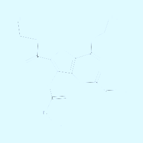 CCOC(=O)c1sc(C(=O)OCC)c(OC(=O)NC)c1OC(=O)NC